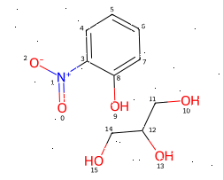 O=[N+]([O-])c1ccccc1O.OCC(O)CO